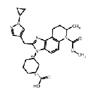 COC(=O)N1c2ccc3c(nc(Cc4cnn(C5CC5)c4)n3[C@@H]3CCC[C@@H](C(=O)O)C3)c2CCC1C